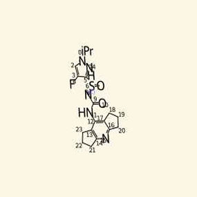 CC(C)n1cc(F)c(/[SH](=O)=N/C(=O)Nc2c3c(nc4c2CCC4)CCC3)n1